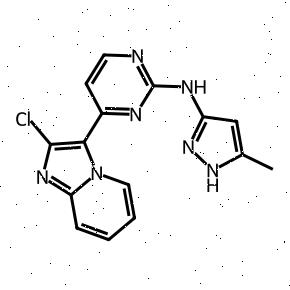 Cc1cc(Nc2nccc(-c3c(Cl)nc4ccccn34)n2)n[nH]1